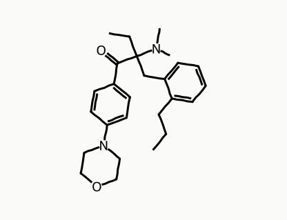 CCCc1ccccc1CC(CC)(C(=O)c1ccc(N2CCOCC2)cc1)N(C)C